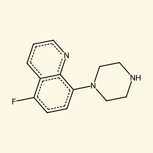 Fc1ccc(N2CCNCC2)c2ncccc12